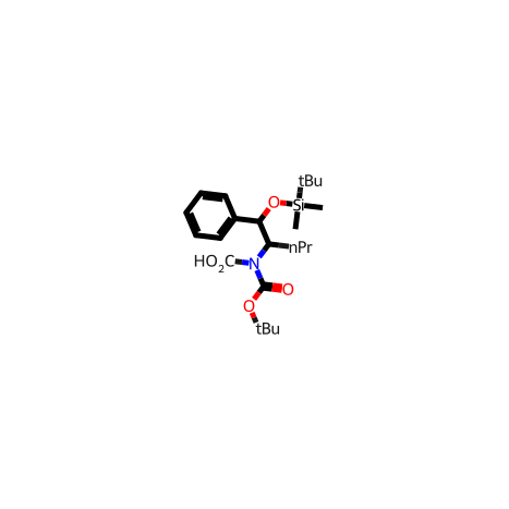 CCCC(C(O[Si](C)(C)C(C)(C)C)c1ccccc1)N(C(=O)O)C(=O)OC(C)(C)C